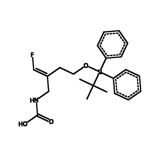 CC(C)(C)[Si](OCC/C(=C\F)CNC(=O)O)(c1ccccc1)c1ccccc1